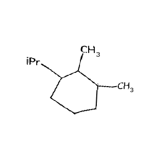 C[C]1CCCC(C(C)C)C1C